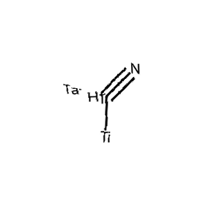 N#[C][Ti].[Hf].[Ta]